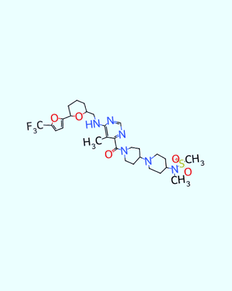 Cc1c(NCC2CCCC(c3ccc(C(F)(F)F)o3)O2)ncnc1C(=O)N1CCC(N2CCC(N(C)S(C)(=O)=O)CC2)CC1